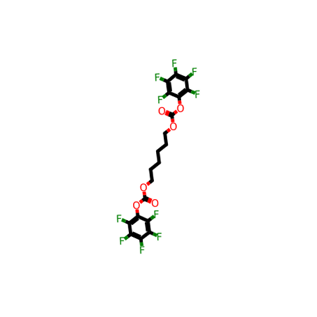 O=C(OCCCCCCOC(=O)Oc1c(F)c(F)c(F)c(F)c1F)Oc1c(F)c(F)c(F)c(F)c1F